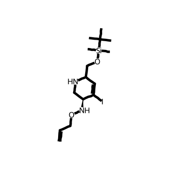 C=CCON[C@H]1CNC(CO[Si](C)(C)C(C)(C)C)C=C1I